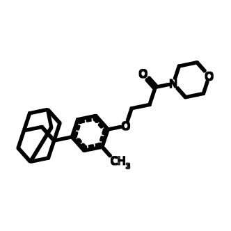 Cc1cc(C23CC4CC(CC(C4)C2)C3)ccc1OCCC(=O)N1CCOCC1